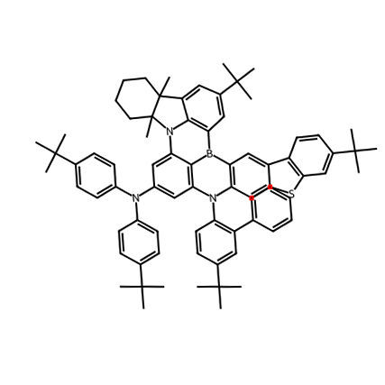 CC(C)(C)c1ccc(N(c2ccc(C(C)(C)C)cc2)c2cc3c4c(c2)N2c5c(cc(C(C)(C)C)cc5C5(C)CCCCC25C)B4c2cc4c(cc2N3c2ccc(C(C)(C)C)cc2-c2ccccc2)sc2cc(C(C)(C)C)ccc24)cc1